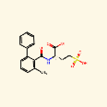 Cc1cccc(-c2ccccc2)c1C(=O)N[C@@H](CCS(=O)(=O)O)C(=O)O